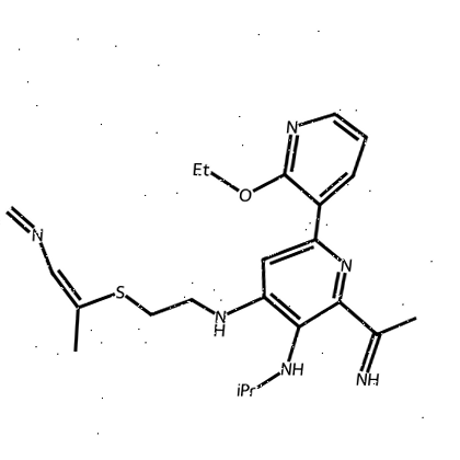 C=N/C=C(/C)SCCNc1cc(-c2cccnc2OCC)nc(C(C)=N)c1NC(C)C